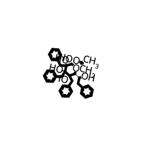 C=C(C)O[C@@]1(O)O[C@H](C(O)Cc2ccccc2)[C@](O)(Cc2ccccc2)[C@@](O)(Cc2ccccc2)[C@]1(O)Cc1ccccc1